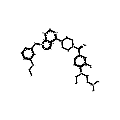 CCOc1cccc(Cn2ncc3c(N4CCN(C(=O)c5ccc(N(CC)CCN(C)C)c(C)c5)CC4)ncnc32)c1